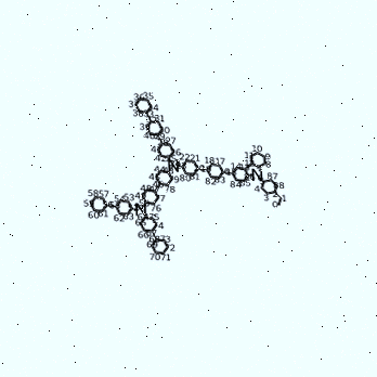 C=Cc1ccc(-n2c3ccccc3c3cc(-c4ccc(-c5ccc(N(c6ccc(-c7ccc(-c8ccccc8)cc7)cc6)c6ccc(-c7ccc(N(c8ccc(-c9ccccc9)cc8)c8ccc(-c9ccccc9)cc8)cc7)cc6)cc5)cc4)ccc32)cc1